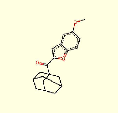 COc1ccc2oc(C(=O)C34CC5CC(CC(C5)C3)C4)cc2c1